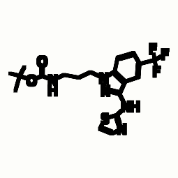 CC(C)(C)OC(=O)NCCCn1nc(Nc2nccs2)c2cc(C(F)(F)F)ccc21